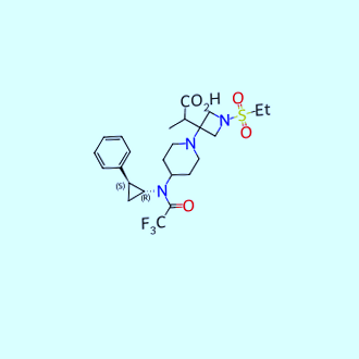 CCS(=O)(=O)N1CC(C(C)C(=O)O)(N2CCC(N(C(=O)C(F)(F)F)[C@@H]3C[C@H]3c3ccccc3)CC2)C1